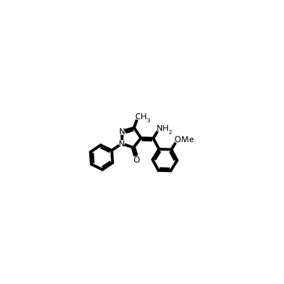 COc1ccccc1C(N)=C1C(=O)N(c2ccccc2)N=C1C